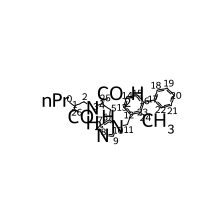 CCCC(CNC(Cc1cncn1Cc1cccc(-c2ccccc2)c1C)C(=O)O)C(=O)O